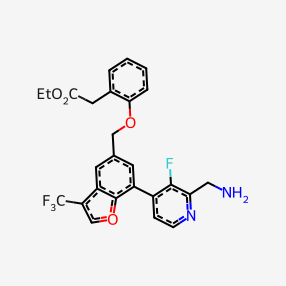 CCOC(=O)Cc1ccccc1OCc1cc(-c2ccnc(CN)c2F)c2occ(C(F)(F)F)c2c1